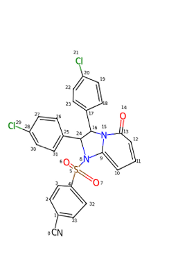 N#Cc1ccc(S(=O)(=O)N2c3cccc(=O)n3C(c3ccc(Cl)cc3)C2c2ccc(Cl)cc2)cc1